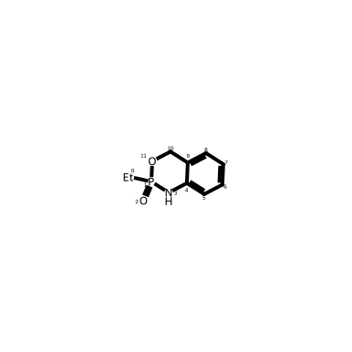 CCP1(=O)Nc2ccccc2CO1